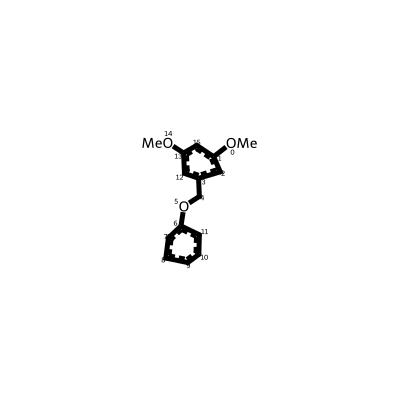 COc1cc(COc2[c]cccc2)cc(OC)c1